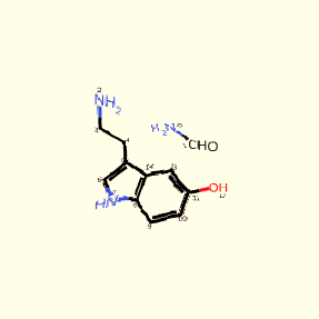 NC=O.NCCc1c[nH]c2ccc(O)cc12